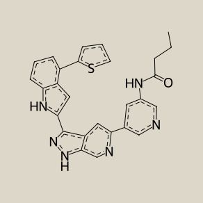 CCCC(=O)Nc1cncc(-c2cc3c(-c4cc5c(-c6cccs6)cccc5[nH]4)n[nH]c3cn2)c1